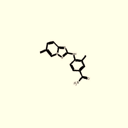 Cc1ccc2nc(Nc3ccc(C(N)=O)cc3C)nn2c1